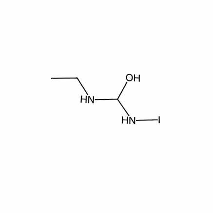 CCNC(O)NI